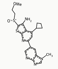 COCC[S@@+]([O-])c1sc2nc(-c3cnc4ncn(C)c4c3)cc(C3CCC3)c2c1N